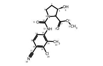 COC(=O)C1[C@H](O)CCN1C(=O)Nc1ccc(C#N)c(Cl)c1C